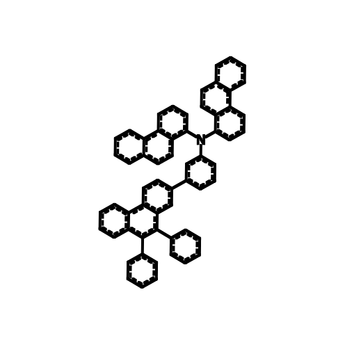 c1ccc(-c2c(-c3ccccc3)c3cc(-c4cccc(N(c5cccc6c5ccc5ccccc56)c5cccc6c5ccc5ccccc56)c4)ccc3c3ccccc23)cc1